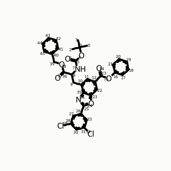 CC(C)(C)OC(=O)NC(Cc1cc(C(=O)Oc2ccccc2)cc2oc(-c3cc(Cl)cc(Cl)c3)nc12)C(=O)OCc1ccccc1